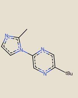 Cc1nccn1-c1cnc(C(C)(C)C)cn1